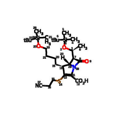 C[C@@H](O[Si](C)(C)C(C)(C)C)[C@H]1C(=O)N2C(C(=O)O)=C(SCCC#N)[C@H](CCCCO[Si](C)(C)C(C)(C)C)[C@H]12